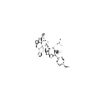 CC(C)C[C@H](NC(=O)c1ccc(C(C)C)cc1)C(=O)N1C[C@H](F)[C@H]2OCC(=O)[C@H]21